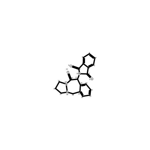 O=C1c2ccccc2C(=O)N1C1C(=O)N2CCCN2Cc2ccccc21